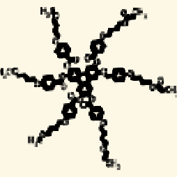 C=CCOCCCCOc1ccc(C(=O)Oc2cc3c4cc(OCc5ccc(OCCCCOC(=O)C=C)cc5)c(OC(=O)c5ccc(OCCCCOC(=O)C=C)cc5)cc4c4cc(OC(=O)c5ccc(OCCCCOC)cc5)c(OC(=O)c5ccc(OCCCCOC)cc5)cc4c3cc2OC(=O)c2ccc(OCCCCOC)cc2)cc1